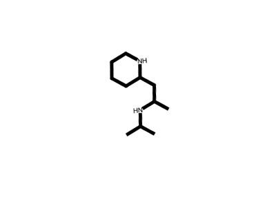 CC(C)NC(C)CC1CCCCN1